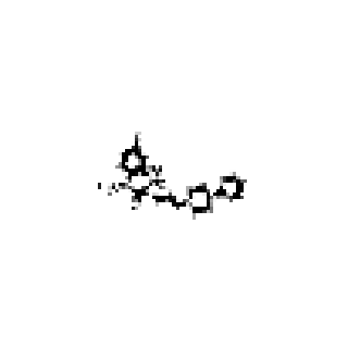 CN1C(=O)N(CCCN2CCN(c3ncccn3)CC2)S(=O)(=O)c2cc(F)ccc21